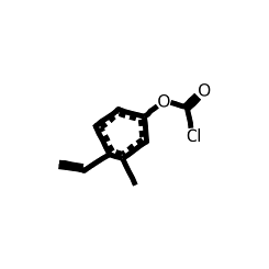 C=Cc1ccc(OC(=O)Cl)cc1C